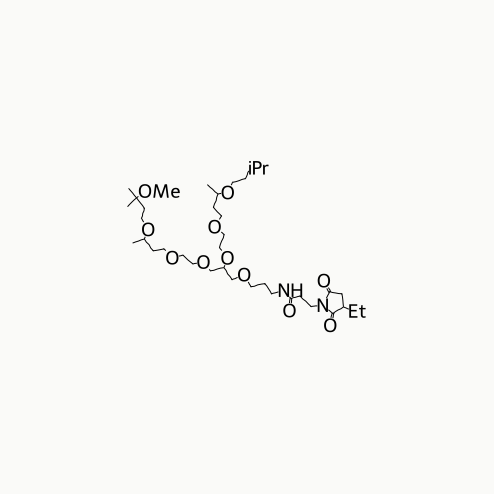 CCC1CC(=O)N(CCC(=O)NCCCOCC(COCCOCCC(C)OCCC(C)(C)OC)OCCOCCC(C)OCCC(C)C)C1=O